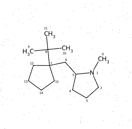 CN1CCCC1CC1(C(C)(C)C)CCCC1